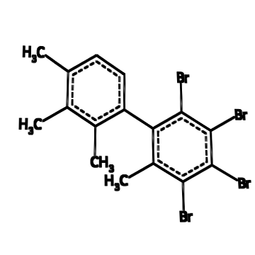 Cc1ccc(-c2c(C)c(Br)c(Br)c(Br)c2Br)c(C)c1C